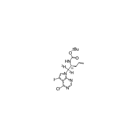 [2H]C([2H])([C@H](CC=C)NC(=O)OC(C)(C)C)n1cc(I)c2c(Cl)ncnc21